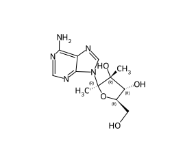 C[C@@]1(n2cnc3c(N)ncnc32)O[C@H](CO)[C@@H](O)[C@@]1(C)O